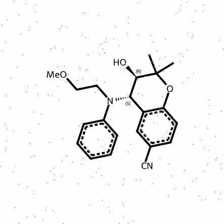 COCCN(c1ccccc1)[C@H]1c2cc(C#N)ccc2OC(C)(C)[C@@H]1O